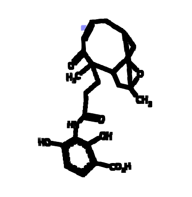 CC12CC3C(CC1C/C=C\C(=O)C3(C)CCC(=O)Nc1c(O)ccc(C(=O)O)c1O)O2